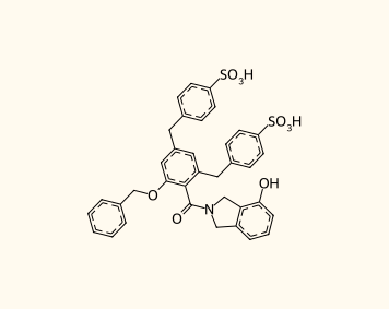 O=C(c1c(Cc2ccc(S(=O)(=O)O)cc2)cc(Cc2ccc(S(=O)(=O)O)cc2)cc1OCc1ccccc1)N1Cc2cccc(O)c2C1